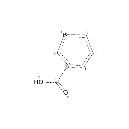 O=C(O)c1cbccc1